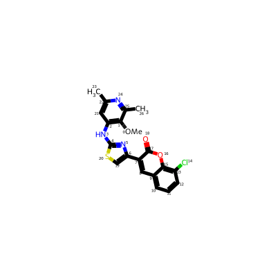 COc1c(Nc2nc(-c3cc4cccc(Cl)c4oc3=O)cs2)cc(C)nc1C